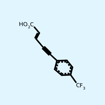 O=C(O)/C=C/C#Cc1ccc(C(F)(F)F)cc1